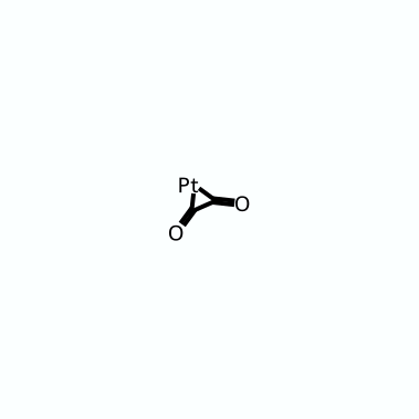 O=[C]1[Pt][C]1=O